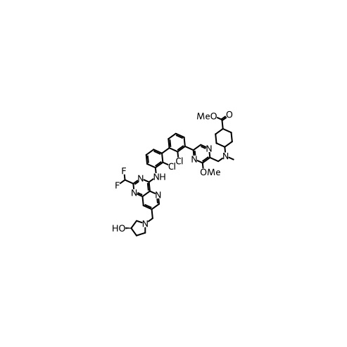 COC(=O)C1CCC(N(C)Cc2ncc(-c3cccc(-c4cccc(Nc5nc(C(F)F)nc6cc(CN7CC[C@@H](O)C7)cnc56)c4Cl)c3Cl)nc2OC)CC1